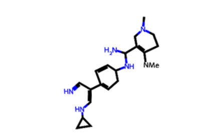 CNC1=C(C(N)NC2C=CC(/C(C=N)=C/NC3CC3)=CC2)CN(C)CC1